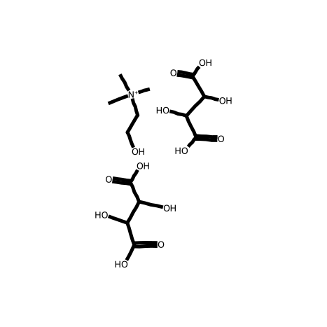 C[N+](C)(C)CCO.O=C(O)C(O)C(O)C(=O)O.O=C(O)C(O)C(O)C(=O)O